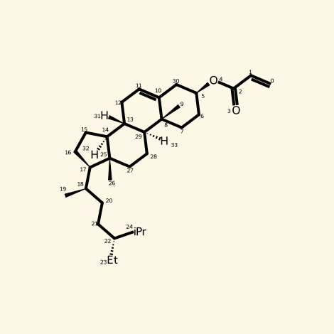 C=CC(=O)O[C@H]1CC[C@@]2(C)C(=CC[C@H]3[C@@H]4CC[C@H]([C@H](C)CC[C@@H](CC)C(C)C)[C@@]4(C)CC[C@@H]32)C1